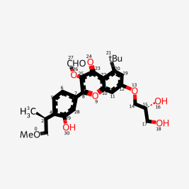 COC[C@@H](C)c1ccc(-c2oc3cc(OC[C@H](O)CO)cc(C(C)(C)C)c3c(=O)c2OC=O)cc1O